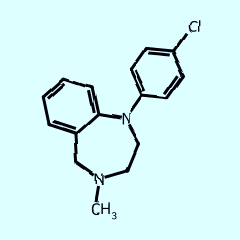 CN1CCN(c2ccc(Cl)cc2)c2ccccc2C1